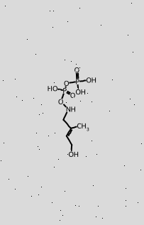 C/C(=C\CO)CNOP(=O)(O)OP(=O)(O)O